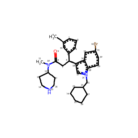 Cc1cccc(C(CC(=O)N(C)C2CCNCC2)c2cn(CC3CCCCC3)c3ccc(Br)cc23)c1